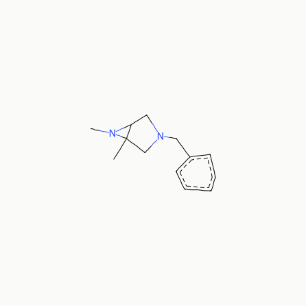 CN1C2CN(Cc3ccccc3)CC21C